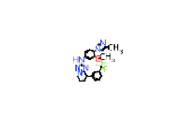 COC1C=C(Nc2nc3n(n2)CCCC3c2cccc(C(F)(F)F)c2)C=CC1n1cnc(C)c1